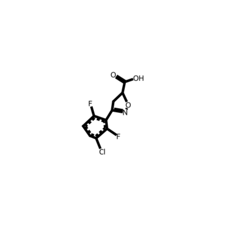 O=C(O)C1CC(c2c(F)ccc(Cl)c2F)=NO1